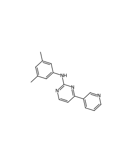 Cc1cc(C)cc(Nc2nccc(-c3cccnc3)n2)c1